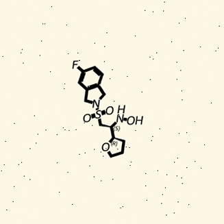 O=S(=O)(C[C@@H](NO)[C@H]1CCCO1)N1Cc2ccc(F)cc2C1